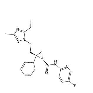 CCc1nc(C)nn1CC[C@@]1(C2C=CC=CC2)C[C@H]1C(=O)Nc1ccc(F)cn1